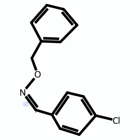 Clc1ccc(/[C]=N\OCc2ccccc2)cc1